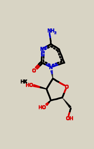 Nc1ccn([C@@H]2O[C@H](CO)[C@@H](O)[C@H]2O)c(=O)n1.[KH]